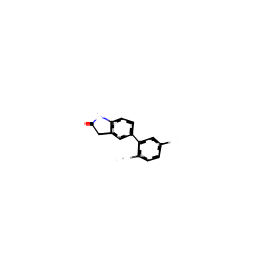 Cc1ccc(OCC(C)C)c(-c2ccc3c(c2)CC(=O)N3)c1